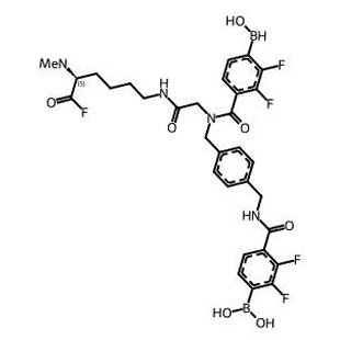 CN[C@@H](CCCCNC(=O)CN(Cc1ccc(CNC(=O)c2ccc(B(O)O)c(F)c2F)cc1)C(=O)c1ccc(BO)c(F)c1F)C(=O)F